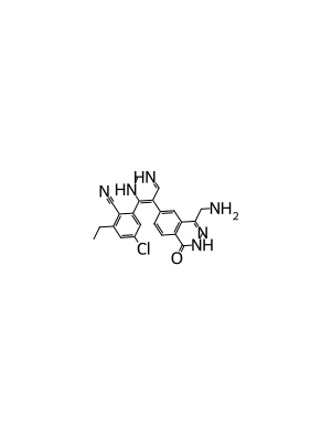 CCc1cc(Cl)cc(/C(NC)=C(/C=N)c2ccc3c(=O)[nH]nc(CN)c3c2)c1C#N